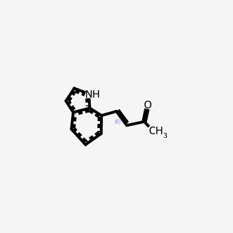 CC(=O)/C=C/c1cccc2cc[nH]c12